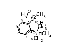 [CH3][Sn]([CH3])([CH3])[c]1cccc[c]1[Sn]([CH3])([CH3])[CH3]